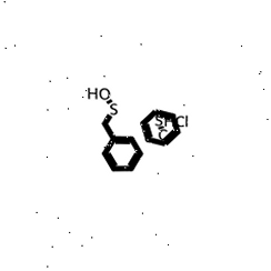 Cl.OSCc1ccccc1.c1cc2ccc1CS2